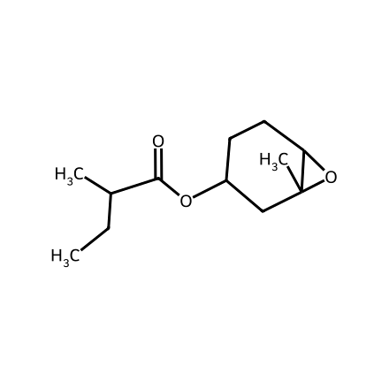 CCC(C)C(=O)OC1CCC2OC2(C)C1